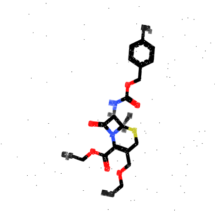 COCOCC1=C(C(=O)OCC(Cl)(Cl)Cl)N2C(=O)[C@H](NC(=O)OCc3ccc([N+](=O)[O-])cc3)[C@H]2SC1